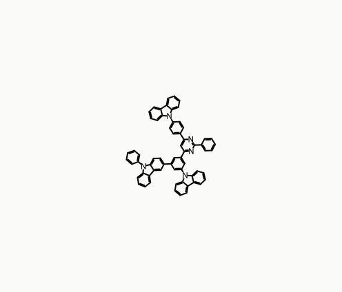 c1ccc(-c2nc(-c3ccc(-n4c5ccccc5c5ccccc54)cc3)cc(-c3cc(-c4ccc5c(c4)c4ccccc4n5-c4ccccc4)cc(-n4c5ccccc5c5ccccc54)c3)n2)cc1